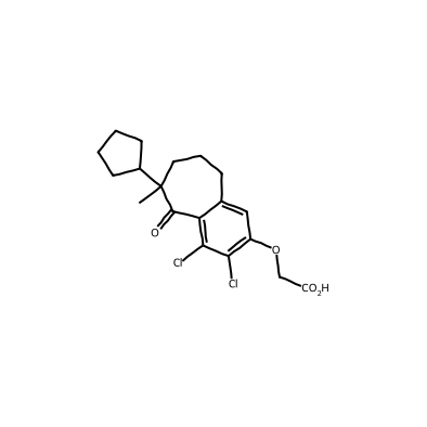 CC1(C2CCCC2)CCCc2cc(OCC(=O)O)c(Cl)c(Cl)c2C1=O